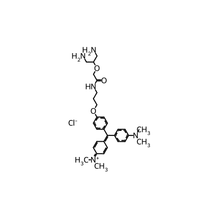 CN(C)c1ccc(C(=C2C=CC(=[N+](C)C)C=C2)c2ccc(OCCCNC(=O)COC(CN)CN)cc2)cc1.[Cl-]